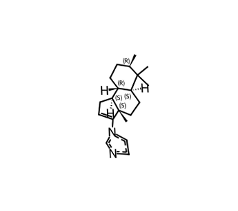 C[C@@H]1CC[C@@H]2[C@H](CC[C@]3(C)C(n4ccnc4)=CC[C@@H]23)C1(C)C